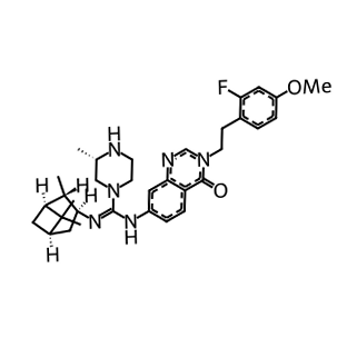 COc1ccc(CCn2cnc3cc(N/C(=N/[C@H]4C[C@H]5C[C@@H]([C@@H]4C)C5(C)C)N4CCN[C@@H](C)C4)ccc3c2=O)c(F)c1